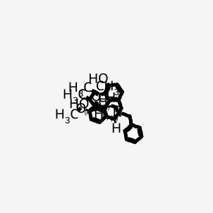 CO[C@]12C=C[C@@]3(C[C@@H]1C(C)(O)C(C)(C)C)[C@H]1Cc4ccc(O)c5c4[C@@]3(CCN1Cc1ccccc1)[C@H]2O5